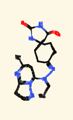 CC(C)(C)CN(N=C1CCC2(CC1)NC(=O)NC2=O)c1cc(C#N)nc2ccnn12